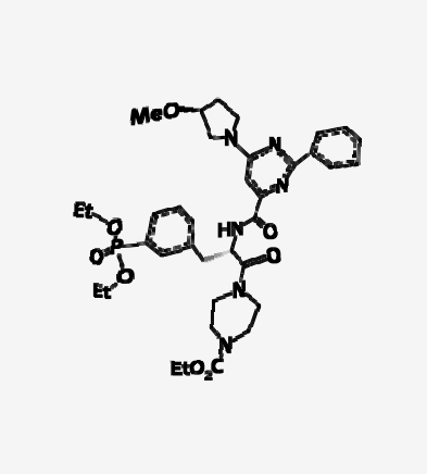 CCOC(=O)N1CCN(C(=O)[C@H](Cc2cccc(P(=O)(OCC)OCC)c2)NC(=O)c2cc(N3CC[C@H](OC)C3)nc(-c3ccccc3)n2)CC1